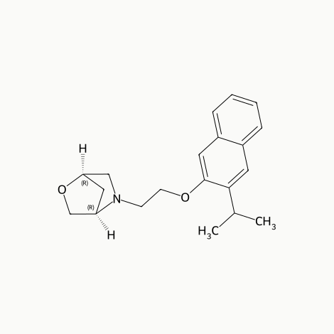 CC(C)c1cc2ccccc2cc1OCCN1C[C@H]2C[C@@H]1CO2